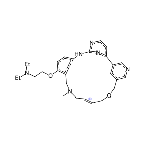 CCN(CC)CCOc1ccc2cc1CN(C)C/C=C/COCc1cncc(c1)-c1ccnc(n1)N2